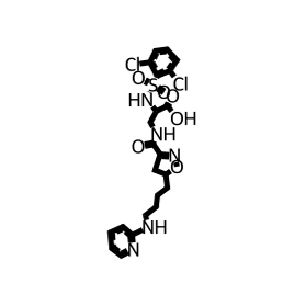 O=C(NCC(NS(=O)(=O)c1c(Cl)cccc1Cl)C(=O)O)C1=NOC(CCCCNc2ccccn2)C1